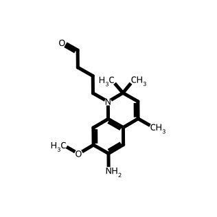 COc1cc2c(cc1N)C(C)=CC(C)(C)N2CCCC=O